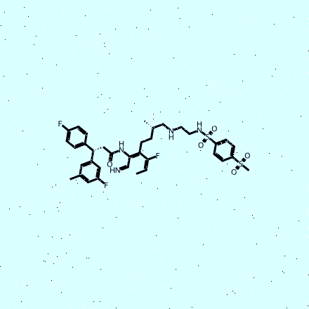 C/C=C(F)\C(CC[C@H](C)CNCCNS(=O)(=O)c1ccc(S(C)(=O)=O)cc1)=C(/C=N)NC(=O)C[C@@H](c1ccc(F)cc1)c1cc(C)cc(F)c1